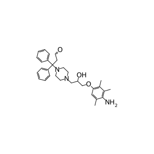 Cc1cc(OCC(O)CN2CCN(C(CC=O)(c3ccccc3)c3ccccc3)CC2)c(C)c(C)c1N